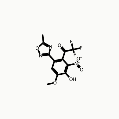 COc1cc(-c2noc(C)n2)c(C(=O)C(F)(F)F)c([N+](=O)[O-])c1O